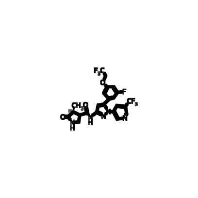 C[C@H]1C(=O)NCC1C(=O)Nc1cc(-c2cc(F)cc(OCC(F)(F)F)c2)n(-c2cncc(C(F)(F)F)c2)n1